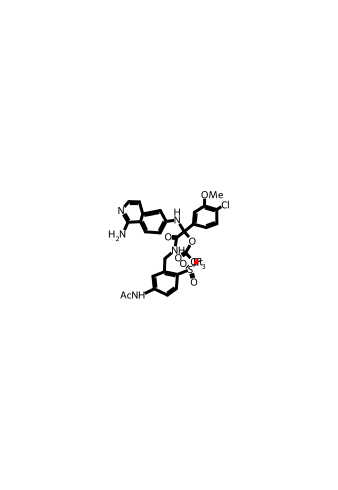 CCS(=O)(=O)c1ccc(NC(C)=O)cc1CNC(=O)C(Nc1ccc2c(N)nccc2c1)(OC(=O)C(F)(F)F)c1ccc(Cl)c(OC)c1